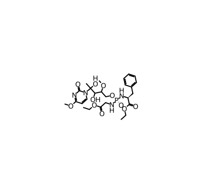 CCOC(=O)CNP(=O)(N[C@@H](Cc1ccccc1)C(=O)OCC)OCC(OC)C(O)C(C)(O)n1ccc(OC)nc1=O